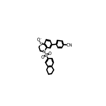 N#Cc1ccc(-c2ccc3c(c2)N(S(=O)(=O)c2ccc4c(c2)CCCC4)CC[S+]3[O-])cc1